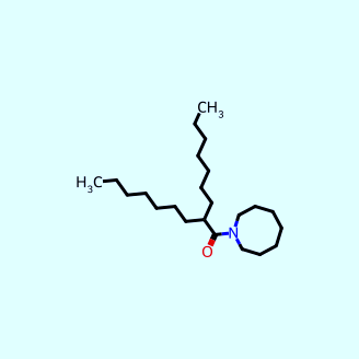 CCCCCCCC(CCCCCCC)C(=O)N1CCCCCCC1